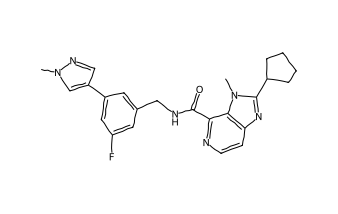 Cn1cc(-c2cc(F)cc(CNC(=O)c3nccc4nc(C5CCCC5)n(C)c34)c2)cn1